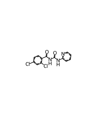 O=C(NC(=O)c1ccc(Cl)cc1Cl)Nc1ccccn1